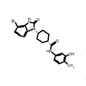 Cc1ccc(NC(=O)[C@H]2CC[C@@H](n3c(=O)[nH]c4c(Br)cccc43)CC2)cc1O